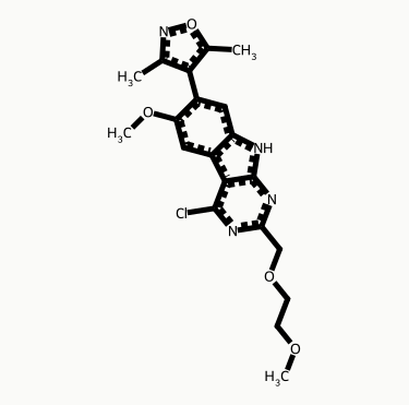 COCCOCc1nc(Cl)c2c(n1)[nH]c1cc(-c3c(C)noc3C)c(OC)cc12